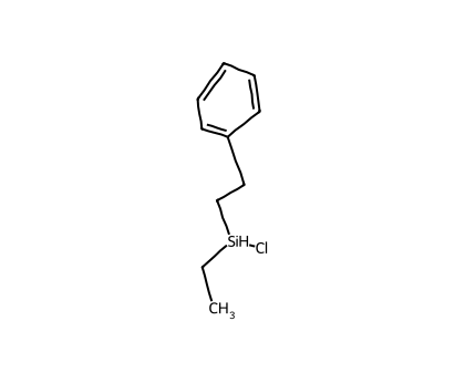 CC[SiH](Cl)CCc1ccccc1